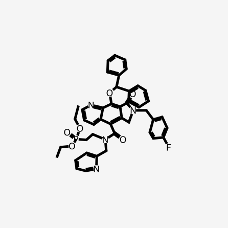 CCOP(=O)(CCN(Cc1ccccn1)C(=O)c1c2c(c(OC(c3ccccc3)c3ccccc3)c3ncccc13)C(=O)N(Cc1ccc(F)cc1)C2)OCC